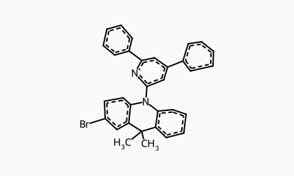 CC1(C)c2ccccc2N(c2cc(-c3ccccc3)cc(-c3ccccc3)n2)c2ccc(Br)cc21